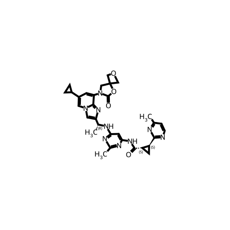 Cc1ccnc([C@H]2C[C@@H]2C(=O)Nc2cc(N[C@H](C)c3cn4cc(C5CC5)cc(N5CC6(COC6)OC5=O)c4n3)nc(C)n2)n1